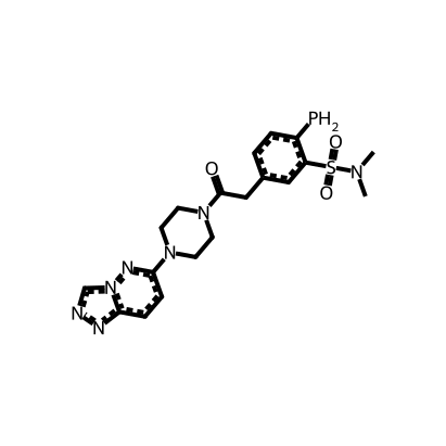 CN(C)S(=O)(=O)c1cc(CC(=O)N2CCN(c3ccc4nncn4n3)CC2)ccc1P